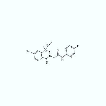 O=C(CN1C[C@]2(C[C@H]2F)c2cc(Br)ccc2C1=O)Nc1ncc(F)cn1